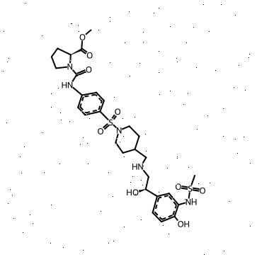 COC(=O)[C@@H]1CCCN1C(=O)Nc1ccc(S(=O)(=O)N2CCC(CNC[C@H](O)c3ccc(O)c(NS(C)(=O)=O)c3)CC2)cc1